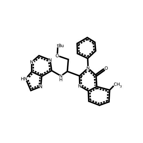 Cc1cccc2nc(C(COC(C)(C)C)Nc3ncnc4[nH]cnc34)n(-c3ccccc3)c(=O)c12